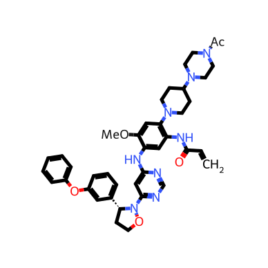 C=CC(=O)Nc1cc(Nc2cc(N3OCC[C@@H]3c3cccc(Oc4ccccc4)c3)ncn2)c(OC)cc1N1CCC(N2CCN(C(C)=O)CC2)CC1